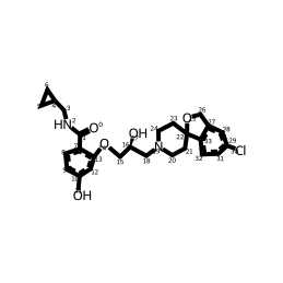 O=C(NCC1CC1)c1ccc(O)cc1OC[C@@H](O)CN1CCC2(CC1)OCc1cc(Cl)ccc12